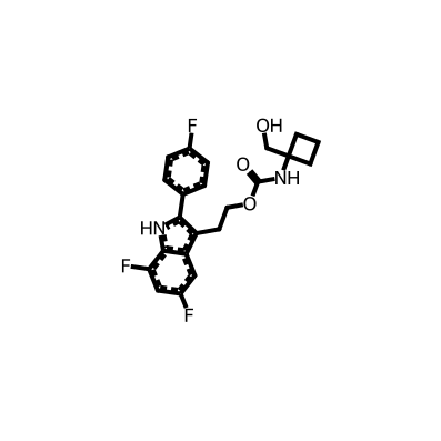 O=C(NC1(CO)CCC1)OCCc1c(-c2ccc(F)cc2)[nH]c2c(F)cc(F)cc12